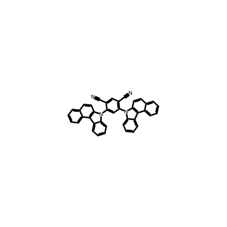 N#Cc1cc(C#N)c(-n2c3ccccc3c3c4ccccc4ccc32)cc1-n1c2ccccc2c2c3ccccc3ccc21